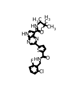 C[C@H](NC(=O)c1c[nH]c2ncc(-c3ccc(C(=O)NCc4c(F)cccc4Cl)s3)nc12)C(C)(C)C